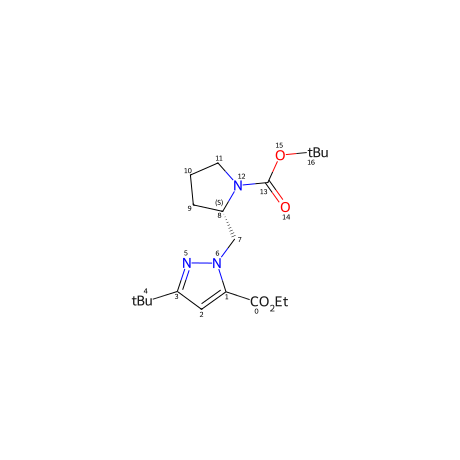 CCOC(=O)c1cc(C(C)(C)C)nn1C[C@@H]1CCCN1C(=O)OC(C)(C)C